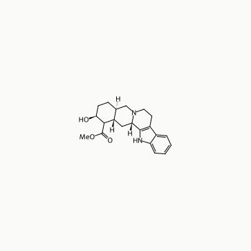 COC(=O)C1[C@H]2C[C@H]3c4[nH]c5ccccc5c4CCN3C[C@@H]2CC[C@@H]1O